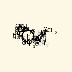 C=CC(=O)N1C[C@@H]2CN(C(=O)N(C)[C@H](C(=O)N[C@H]3Cc4nc(cs4)-c4ccc5c(c4)c(c(-c4cccnc4[C@H](C)OC)n5CC)CC(C)(C)COC(=O)[C@@H]4CCCN(N4)C3=O)C(C)C)C[C@@H]2C1